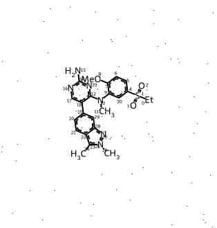 CCS(=O)(=O)c1ccc(OC)c(N(C)c2nc(N)ncc2-c2ccc3c(C)n(C)nc3c2)c1